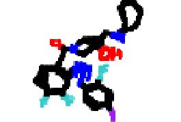 O=C(c1ccc(F)c(F)c1Nc1ccc(I)cc1F)N1CC(O)(CNC2CCCC2)C1